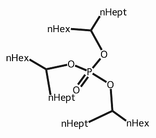 CCCCCCCC(CCCCCC)OP(=O)(OC(CCCCCC)CCCCCCC)OC(CCCCCC)CCCCCCC